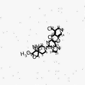 C[C@@H]1OCC2(CCN(c3ncc(Oc4cncc(Cl)c4Cl)c4nccn34)CC2)[C@@H]1N